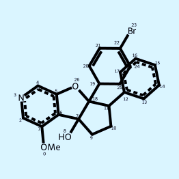 COc1cncc2c1C1(O)CCC(c3ccccc3)C1(C1C=CC(Br)=CC1)O2